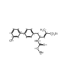 CCOC(=O)C(C)=CC(Cc1ccc(-c2cccc(Cl)c2)cc1)NC(=O)OC(C)(C)C